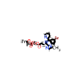 Cc1cnc2n1-c1ccc(Br)cc1C(c1ccccn1)=N[C@H]2CCC(=O)OCOC(=O)OC(C(C)C)C(C)C